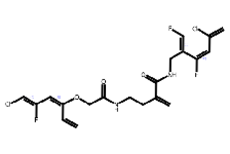 C=C/C(=C\C(F)=C\Cl)OCC(=O)NCCC(=C)C(=O)NCC(=C\F)/C(F)=C\C(=C)Cl